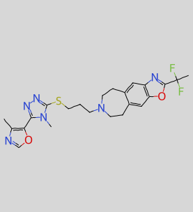 Cc1ncoc1-c1nnc(SCCCN2CCc3cc4nc(C(C)(F)F)oc4cc3CC2)n1C